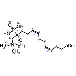 CCCCCCCCCCCC/C=C\CC/C=C\CCC(O)(C[N+](C)(C)C)P(=O)(O)O